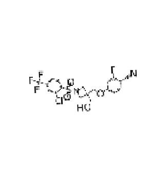 N#Cc1ccc(OCC2(CO)CN(S(=O)(=O)c3ccc(C(F)(F)F)cc3Cl)C2)cc1F